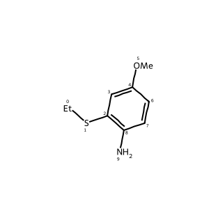 CCSc1cc(OC)ccc1N